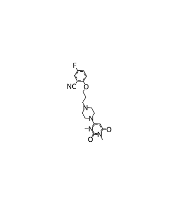 Cn1c(N2CCN(CCCOc3ccc(F)cc3C#N)CC2)cc(=O)n(C)c1=O